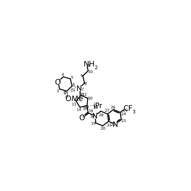 CO[C@@H]1COCC[C@@H]1N(CCCN)[C@@H]1CC[C@@](C(=O)N2CCc3ncc(C(F)(F)F)cc3C2)(C(C)C)C1